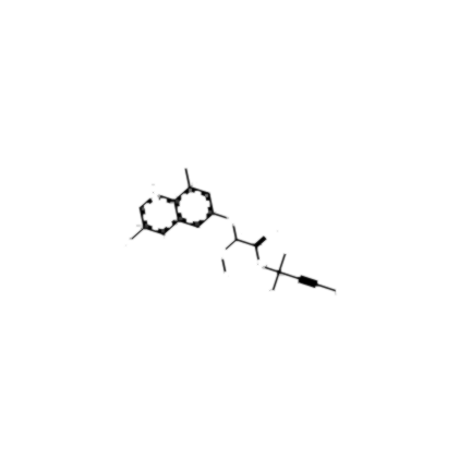 CC#CC(C)(C)NC(=O)C(Oc1cc(C)c2ncc(I)cc2c1)SC